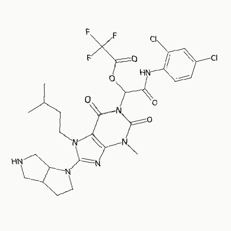 CC(C)CCn1c(N2CCC3CNCC32)nc2c1c(=O)n(C(OC(=O)C(F)(F)F)C(=O)Nc1ccc(Cl)cc1Cl)c(=O)n2C